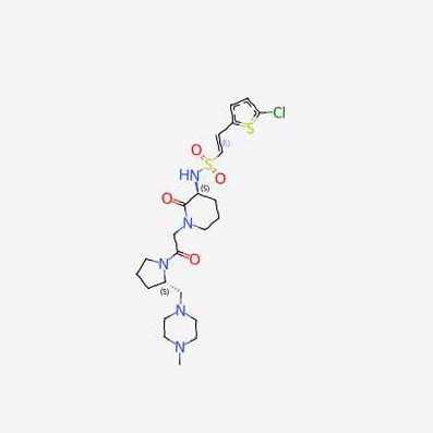 CN1CCN(C[C@@H]2CCCN2C(=O)CN2CCC[C@H](NS(=O)(=O)/C=C/c3ccc(Cl)s3)C2=O)CC1